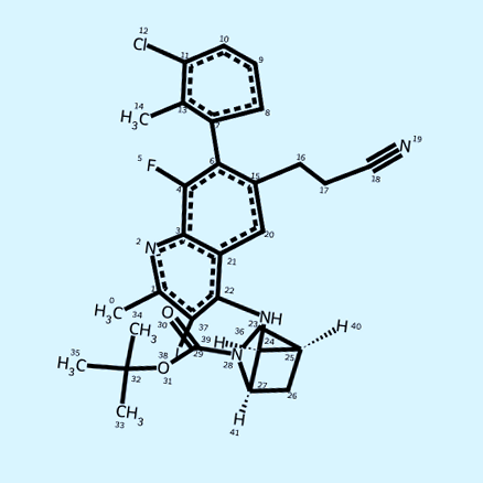 Cc1nc2c(F)c(-c3cccc(Cl)c3C)c(CCC#N)cc2c(N[C@H]2[C@@H]3C[C@H]2N(C(=O)OC(C)(C)C)C3)c1I